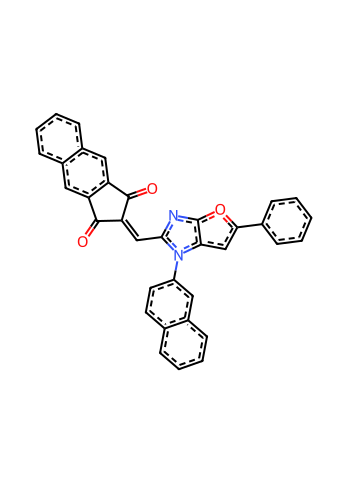 O=C1C(=Cc2nc3oc(-c4ccccc4)cc3n2-c2ccc3ccccc3c2)C(=O)c2cc3ccccc3cc21